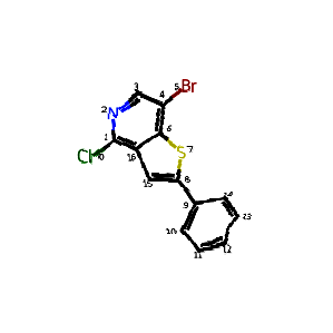 Clc1ncc(Br)c2sc(-c3ccccc3)cc12